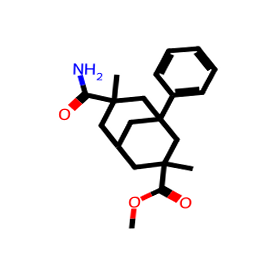 COC(=O)C1(C)CC2CC(C)(C(N)=O)CC(c3ccccc3)(C2)C1